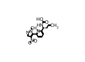 C=CC[C@H](NC(=O)O)c1cccc(-c2c([N+](=O)[O-])cnn2C)n1